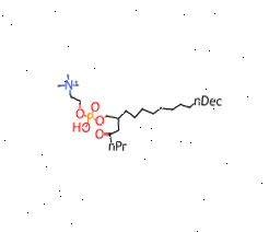 CCCCCCCCCCCCCCCCCCC(COP(=O)(O)OCC[N+](C)(C)C)CC(=O)CCC